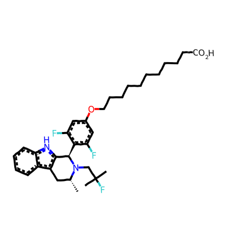 C[C@@H]1Cc2c([nH]c3ccccc23)[C@@H](c2c(F)cc(OCCCCCCCCCCC(=O)O)cc2F)N1CC(C)(C)F